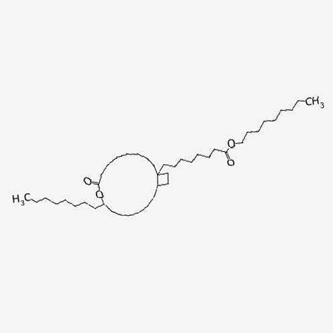 CCCCCCCCCOC(=O)CCCCCCCC12CCCCCCCC(=O)OC(CCCCCCCC)CCCCCCC1CC2